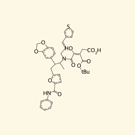 CC(C(Cc1ccc(C(=O)Nc2ccccc2)o1)c1ccc2c(c1)OCO2)N(CC=Cc1ccsc1)C(=O)C(O)=C(CC(=O)O)C(=O)OC(C)(C)C